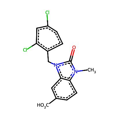 Cn1c(=O)n(Cc2ccc(Cl)cc2Cl)c2cc(C(=O)O)ccc21